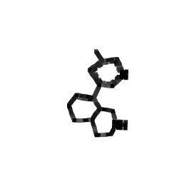 Cc1cncc(C2=CCCC3CCNCC23)c1